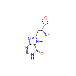 Cn1c(CC(=N)C2COC2)nc2nc[nH]c(=O)c21